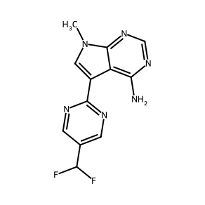 Cn1cc(-c2ncc(C(F)F)cn2)c2c(N)ncnc21